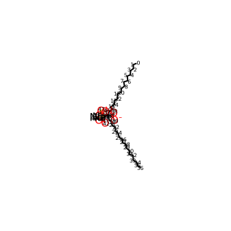 CCCCCCCCCCCCCCCCCCC(CCCCCCCCCCCCCCCCCC)(C(=O)[O-])C(C(=O)[O-])S(=O)(=O)O.[Na+].[Na+]